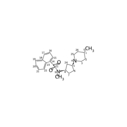 CC1CCN([C@H]2CC[C@@H](N(C)S(=O)(=O)c3cccc4ccccc34)C2)CC1